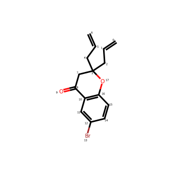 C=CCC1(CC=C)CC(=O)c2cc(Br)ccc2O1